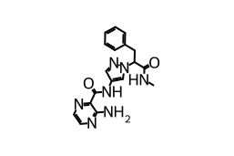 CNC(=O)C(Cc1ccccc1)n1cc(NC(=O)c2nccnc2N)cn1